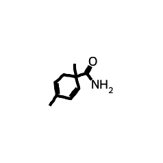 CC1=CCC(C)(C(N)=O)C=C1